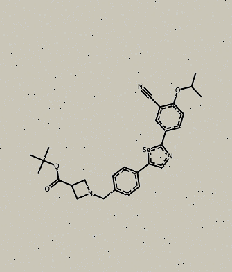 CC(C)Oc1ccc(-c2ncc(-c3ccc(CN4CC(C(=O)OC(C)(C)C)C4)cc3)[se]2)cc1C#N